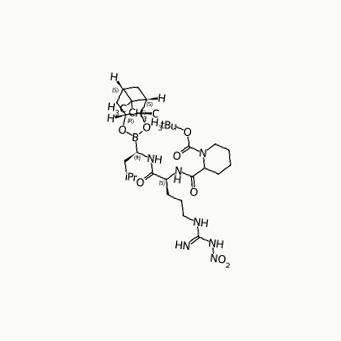 CC(C)C[C@H](NC(=O)[C@H](CCCNC(=N)N[N+](=O)[O-])NC(=O)C1CCCCN1C(=O)OC(C)(C)C)B1O[C@@H]2C[C@@H]3C[C@@H](C3(C)C)[C@]2(C)O1